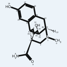 CN1CC[C@]23C[C@H](C(N)=O)C[C@@]2(O)[C@H]1Cc1ccc(O)cc13